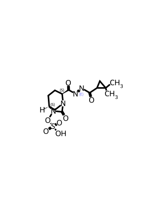 CC1(C)CC1C(=O)/N=N/C(=O)[C@@H]1CC[C@H]2CN1C(=O)N2OS(=O)(=O)O